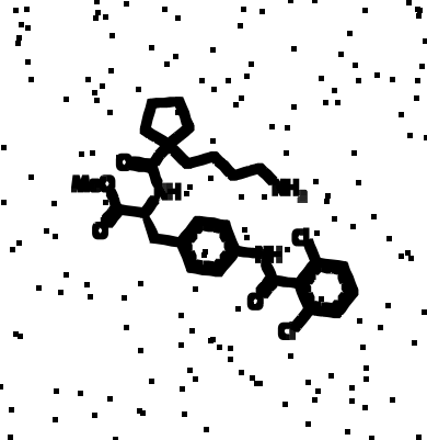 COC(=O)[C@H](Cc1ccc(NC(=O)c2c(Cl)cccc2Cl)cc1)NC(=O)C1(CCCCN)CCCC1